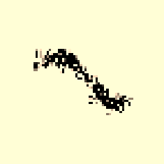 CCc1c2c(nc3ccc(OC(=O)CCC(=O)O[C@H]4CC[C@@]5(C)C(=CC[C@H]6[C@@H]7CC[C@H]([C@H](C)CCCC(C)C)[C@@]7(C)CC[C@@H]65)C4)cc13)-c1cc3c(c(=O)n1C2)COC(=O)[C@]3(O)CC